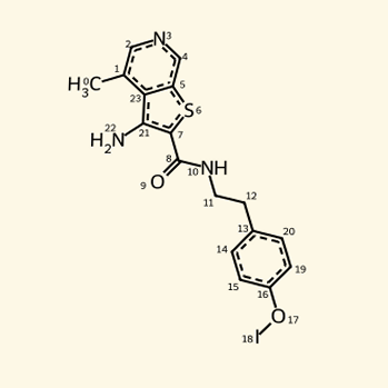 Cc1cncc2sc(C(=O)NCCc3ccc(OI)cc3)c(N)c12